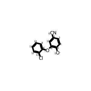 N#Cc1ccc([O])c(Oc2ccccc2Cl)c1